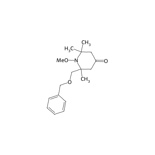 CON1C(C)(C)CC(=O)CC1(C)COCc1ccccc1